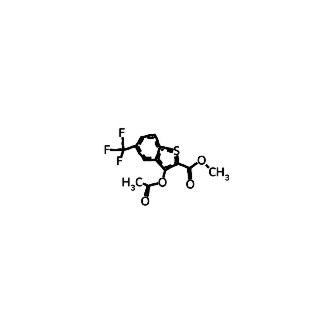 COC(=O)c1sc2ccc(C(F)(F)F)cc2c1OC(C)=O